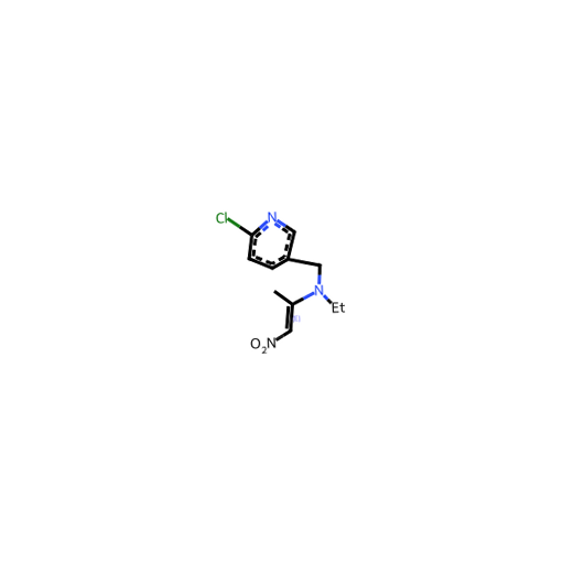 CCN(Cc1ccc(Cl)nc1)/C(C)=C/[N+](=O)[O-]